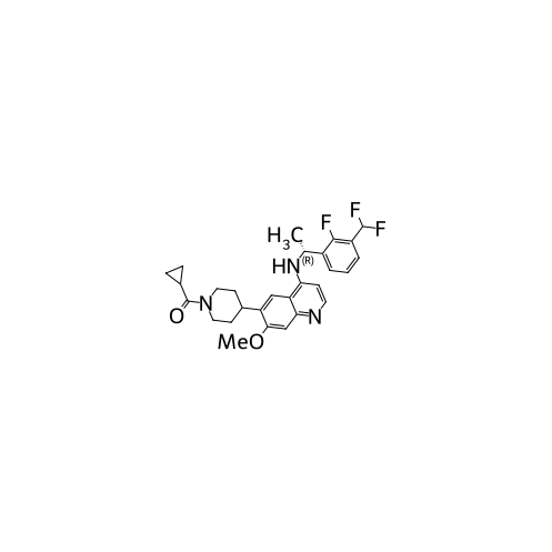 COc1cc2nccc(N[C@H](C)c3cccc(C(F)F)c3F)c2cc1C1CCN(C(=O)C2CC2)CC1